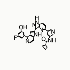 O=C(Nc1cncc(-c2ccc3[nH]nc(-c4cc5c(-c6cc(O)cc(F)c6)nccc5[nH]4)c3n2)c1)C1CCC1